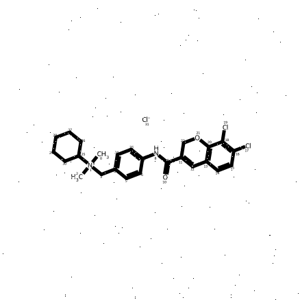 C[N+](C)(Cc1ccc(NC(=O)C2=Cc3ccc(Cl)c(Cl)c3OC2)cc1)C1CCCCC1.[Cl-]